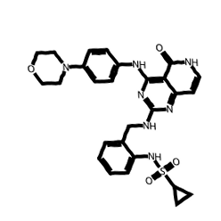 O=c1[nH]ccc2nc(NCc3ccccc3NS(=O)(=O)C3CC3)nc(Nc3ccc(N4CCOCC4)cc3)c12